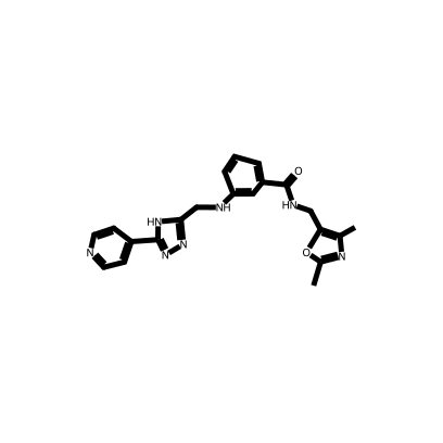 Cc1nc(C)c(CNC(=O)c2cccc(NCc3nnc(-c4ccncc4)[nH]3)c2)o1